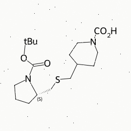 CC(C)(C)OC(=O)N1CCC[C@H]1CSCC1CCN(C(=O)O)CC1